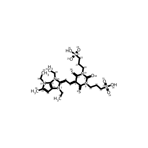 CCN1C(=CC=C2C(=S)N(CCCS(=O)(=O)O)C(=O)N(CCCS(=O)(=O)O)C2=S)N(CC)c2c1cc(C)n2CC